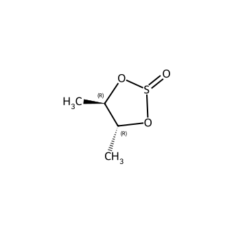 C[C@H]1OS(=O)O[C@@H]1C